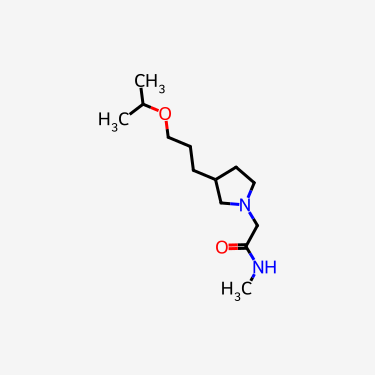 CNC(=O)CN1CCC(CCCOC(C)C)C1